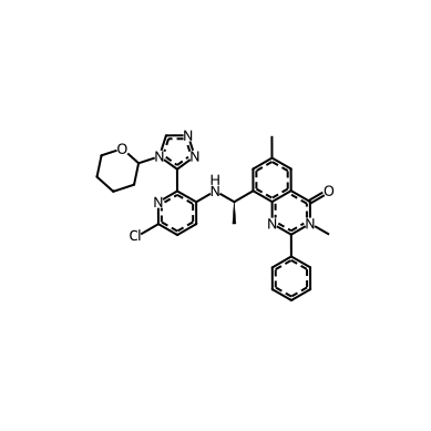 Cc1cc([C@@H](C)Nc2ccc(Cl)nc2-c2nncn2C2CCCCO2)c2nc(-c3ccccc3)n(C)c(=O)c2c1